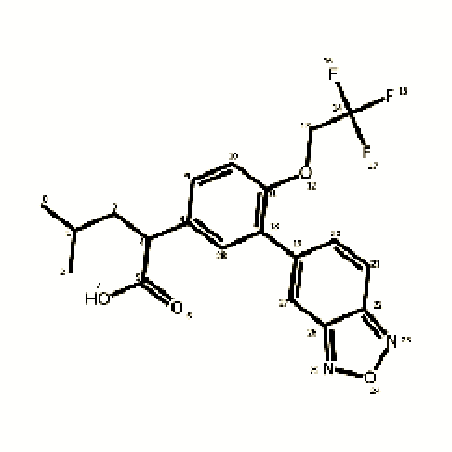 CC(C)CC(C(=O)O)c1ccc(OCC(F)(F)F)c(-c2ccc3nonc3c2)c1